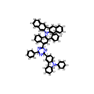 c1ccc(-c2nc(-c3ccc4c(c3)c3ccccc3n4-c3ccccc3)nc(-c3cc(-c4ccccc4)c(-n4c5cc6ccccc6cc5c5cc6ccccc6cc54)c4ccccc34)n2)cc1